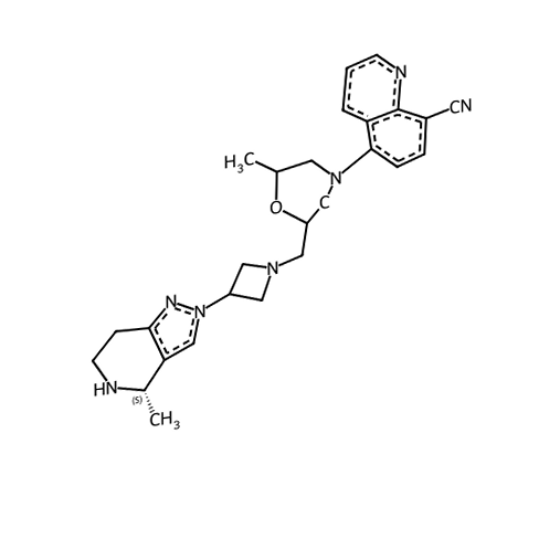 CC1CN(c2ccc(C#N)c3ncccc23)CC(CN2CC(n3cc4c(n3)CCN[C@H]4C)C2)O1